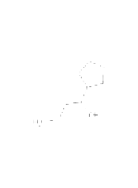 CCCC(O)C1CCCC1